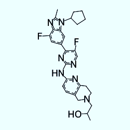 Cc1nc2c(F)cc(-c3nc(Nc4ccc5c(n4)CCN(CC(C)O)C5)ncc3F)cc2n1C1CCCC1